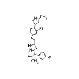 CCc1cc(/C=C/c2nc3n(n2)CC[C@@H](C)[C@@H]3c2ccc(F)cc2)ccc1-n1cnc(C)c1